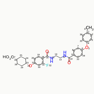 Cc1ccc(Oc2ccc(C(=O)NCCNC(=O)c3ccc(O[C@H]4CC[C@@H](C(=O)O)CC4)cc3F)cc2)cc1